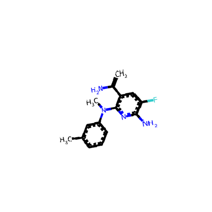 C=C(N)c1cc(F)c(N)nc1N(C)c1cccc(C)c1